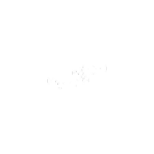 Cc1ccc(S(=O)(=O)Nc2cc(-c3ccn(C)c3)ccc2C)cc1